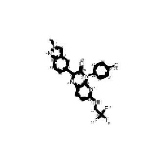 Cn1cc2cc(-c3nc4ccc(NCC(F)(F)F)nc4n(-c4ccc(Cl)cc4)c3=O)ccc2n1